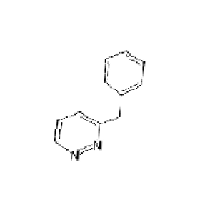 c1ccc(Cc2cccnn2)cc1